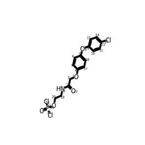 O=C(COc1ccc(Oc2ccc(Cl)cc2)cc1)NCCOP(=O)(Cl)Cl